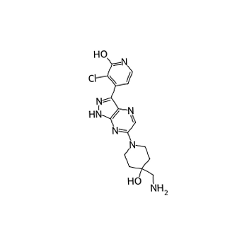 NCC1(O)CCN(c2cnc3c(-c4ccnc(O)c4Cl)n[nH]c3n2)CC1